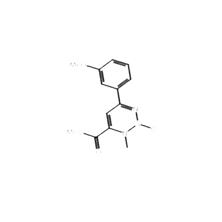 COC(=O)C1=CC(c2cccc(OC)c2)=N[S+]([O-])N1C